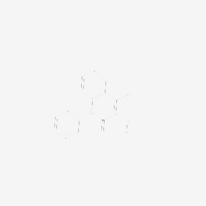 CC(C)(C)N(C(=O)O)c1c(N)c2ccc(Cl)cc2n(-c2ccccc2)c1=O